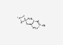 CC1(Cc2ccc(Br)cc2)COC1